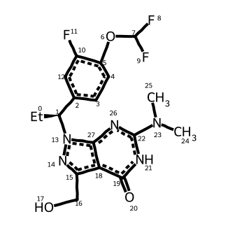 CC[C@@H](c1ccc(OC(F)F)c(F)c1)n1nc(CO)c2c(=O)[nH]c(N(C)C)nc21